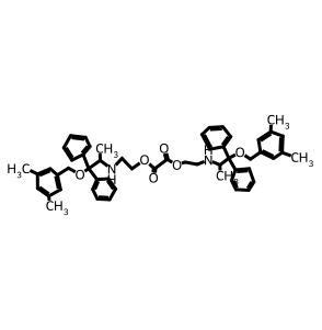 Cc1cc(C)cc(COC(c2ccccc2)(c2ccccc2)C(C)NCCOC(=O)C(=O)OCCNC(C)C(OCc2cc(C)cc(C)c2)(c2ccccc2)c2ccccc2)c1